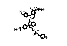 COc1cc2c(cc1OC)C(c1ccc(CN)cc1)N(CCCC(CCCNC(=O)CCc1ccc(F)cc1)(c1ccccc1)c1ccccc1)CC2.Cl.Cl